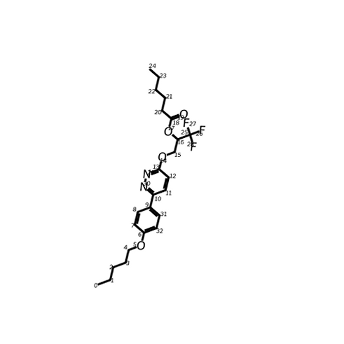 CCCCCOc1ccc(-c2ccc(OCC(OC(=O)CCCCC)C(F)(F)F)nn2)cc1